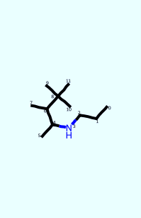 CCCNC(C)C(C)C(C)(C)C